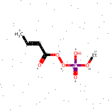 CC=CC(=O)OOP(=O)(O)OCC